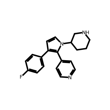 Fc1ccc(-c2ccn(C3CCCNC3)c2-c2ccncc2)cc1